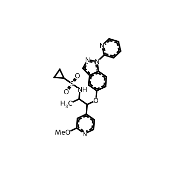 COc1cc(C(Oc2ccc3c(cnn3-c3ccccn3)c2)C(C)NS(=O)(=O)C2CC2)ccn1